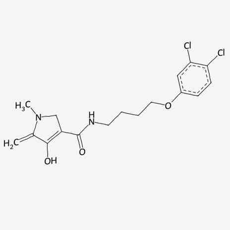 C=C1C(O)=C(C(=O)NCCCCOc2ccc(Cl)c(Cl)c2)CN1C